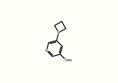 COc1[c]ncc(N2CCC2)c1